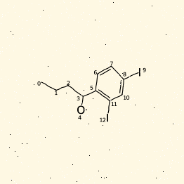 CCCC([O])c1ccc(I)cc1I